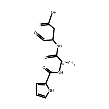 C[C@H](NC(=O)c1ccc[nH]1)C(=O)NC(C=O)CC(=O)O